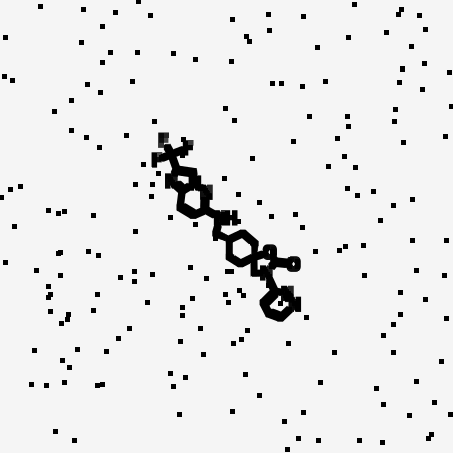 O=C1O[C@]2(CC[C@H](CNc3ccc4nc(C(F)(F)F)cn4n3)CC2)CN1c1cccnn1